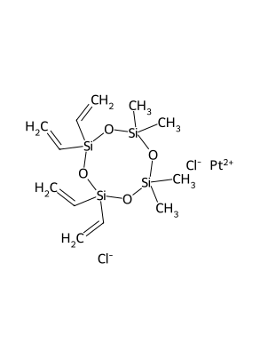 C=C[Si]1(C=C)O[Si](C)(C)O[Si](C)(C)O[Si](C=C)(C=C)O1.[Cl-].[Cl-].[Pt+2]